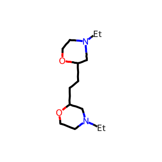 CCN1CCOC(CCC2CN(CC)CCO2)C1